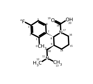 Cc1cc(F)ccc1[C@H]1[C@H](CN(C)C)CCCN1C(=O)O